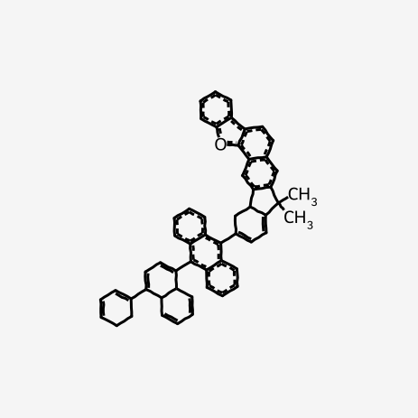 CC1(C)C2=CC=C(c3c4ccccc4c(C4=CC=C(C5=CC=CCC5)C5C=CC=CC45)c4ccccc34)CC2c2cc3c(ccc4c5ccccc5oc34)cc21